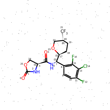 O=C1N[C@H](C(=O)N[C@@H](c2ccc(F)c(Cl)c2F)[C@@H]2CC[C@@H](C(F)(F)F)CO2)CO1